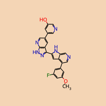 COc1cc(F)cc(-c2cncc3[nH]c(-c4n[nH]c5ncc(-c6cncc(O)c6)cc45)cc23)c1